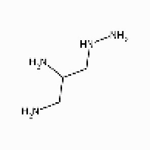 NCC(N)CNN